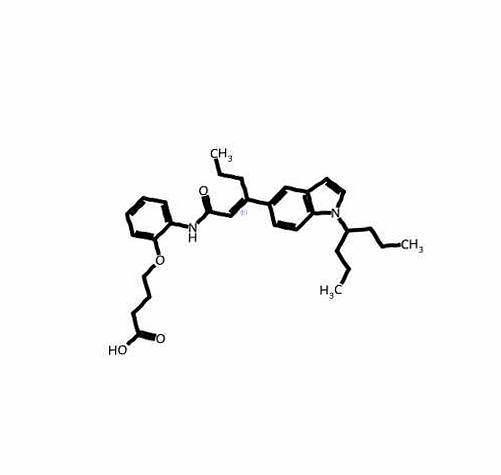 CCC/C(=C\C(=O)Nc1ccccc1OCCCC(=O)O)c1ccc2c(ccn2C(CCC)CCC)c1